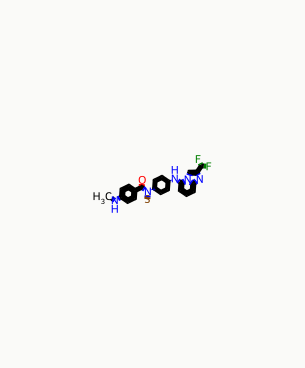 CNc1ccc(C(=O)[N+](=S)[C@H]2CC[C@@H](Nc3cccc4nc(C(F)F)cn34)CC2)cc1